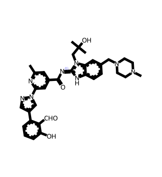 Cc1cc(C(=O)/N=c2\[nH]c3ccc(CN4CCN(C)CC4)cc3n2CC(C)(C)O)cc(-n2cc(-c3cccc(O)c3C=O)cn2)n1